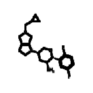 N[C@H]1C[C@@H](N2CCC3=C2CN(CC2CC2)C3)CO[C@@H]1c1cc(F)ccc1F